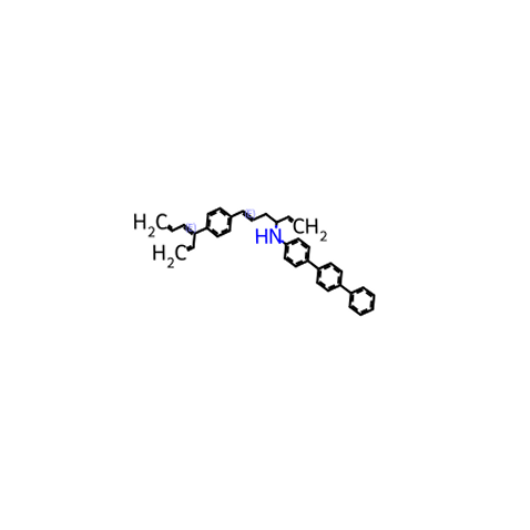 C=C/C=C(\C=C)c1ccc(/C=C/CC(C=C)Nc2ccc(-c3ccc(-c4ccccc4)cc3)cc2)cc1